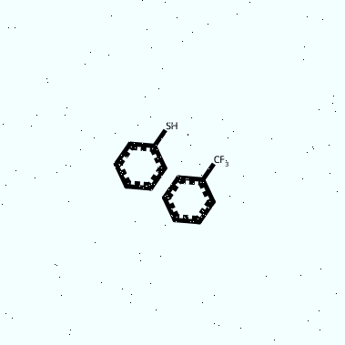 FC(F)(F)c1ccccc1.Sc1ccccc1